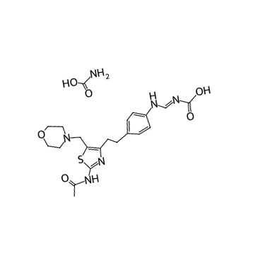 CC(=O)Nc1nc(CCc2ccc(NC=NC(=O)O)cc2)c(CN2CCOCC2)s1.NC(=O)O